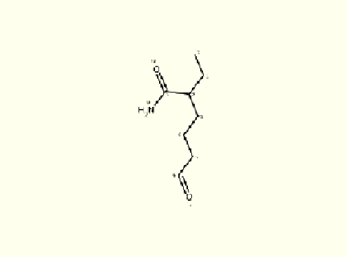 CCC(CCCC=O)C(N)=O